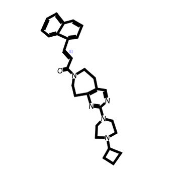 O=C(/C=C/c1cccc2ccccc12)N1CCc2cnc(N3CCN(C4CCC4)CC3)nc2CC1